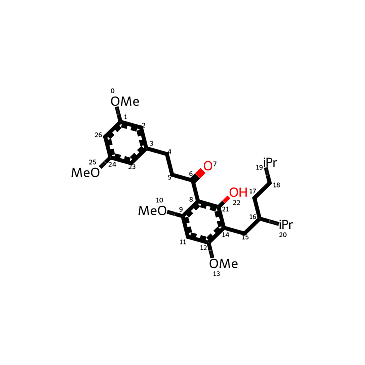 COc1cc(CCC(=O)c2c(OC)cc(OC)c(CC(CCC(C)C)C(C)C)c2O)cc(OC)c1